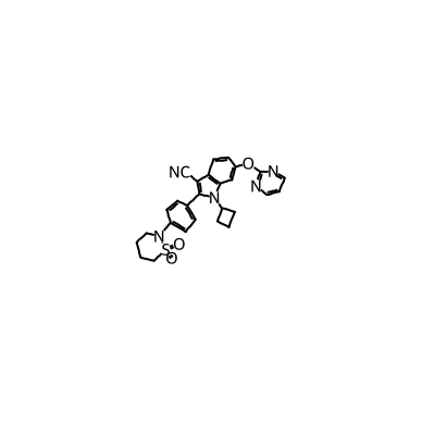 N#Cc1c(-c2ccc(N3CCCCS3(=O)=O)cc2)n(C2CCC2)c2cc(Oc3ncccn3)ccc12